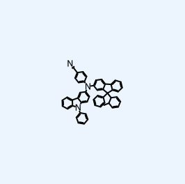 CC1C=CC=CC1C1(c2ccccc2)c2ccccc2-c2ccc(N(c3ccc(C#N)cc3)c3ccc4c(c3)c3ccccc3n4-c3ccccc3)cc21